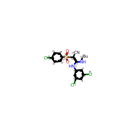 CCC(C)NC(Nc1cc(Cl)cc(Cl)c1)=C(C#N)S(=O)(=O)c1ccc(Cl)cc1